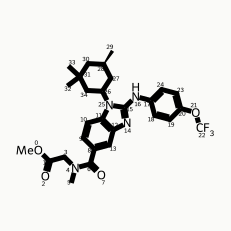 COC(=O)CN(C)C(=O)c1ccc2c(c1)nc(Nc1ccc(OC(F)(F)F)cc1)n2C1C[C@H](C)CC(C)(C)C1